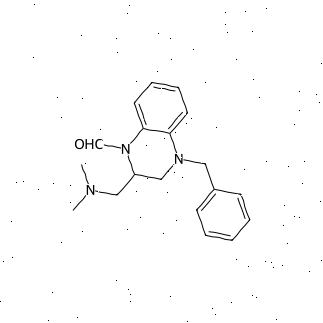 CN(C)CC1CN(Cc2ccccc2)c2ccccc2N1C=O